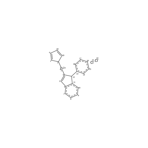 C1=C[CH]([Zr+2][C]2=Cc3ccccc3C2c2ccccc2)C=C1.[Cl-].[Cl-]